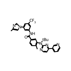 Cc1cn(-c2cc(NC(=O)c3ccc(C)c(N(c4nccc(-c5cccnc5)n4)C(C)(C)C)c3)cc(C(F)(F)F)c2)cn1